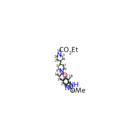 CCOC(=O)CN1CCC(C2CCN(C(=O)[C@H](C)Cc3cc(C)c4[nH]c(OC)nc4c3)CC2)CC1